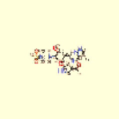 COc1cc(-c2cn3ncc(C)c3c(OC(C)[C@H]3CNC(=O)C3)n2)ccc1N1CCN(S(C)(=O)=O)CC1